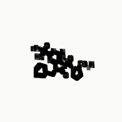 CCCS(=N)(=O)c1nc(N)c2c(n1)n(Cc1ccccc1)c(=O)n2C(=O)N1CCCC1C(=O)O